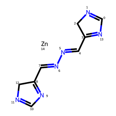 C1=NCC(C=NN=CC2=NC=NC2)=N1.[Zn]